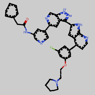 O=C(Cc1ccccc1)Nc1cncc(-c2cc3c(-c4cc5c(-c6cc(F)cc(OCCN7CCCC7)c6)ccnc5[nH]4)n[nH]c3cn2)c1